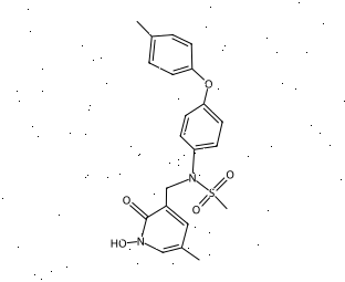 Cc1ccc(Oc2ccc(N(Cc3cc(C)cn(O)c3=O)S(C)(=O)=O)cc2)cc1